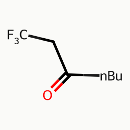 CCCCC(=O)CC(F)(F)F